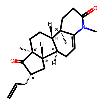 C=CC[C@H]1C[C@H]2[C@@H]3CC=C4N(C)C(=O)CC[C@]4(C)[C@H]3CC[C@]2(C)C1=O